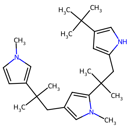 Cn1ccc(C(C)(C)Cc2cc(C(C)(C)Cc3cc(C(C)(C)C)c[nH]3)n(C)c2)c1